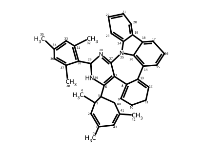 CC1=CC(C)C(C2=C3C4=CCCC=C4c4cccc5c6ccccc6n(c45)C3=NC(c3c(C)cc(C)cc3C)N2)CC(C)=C1